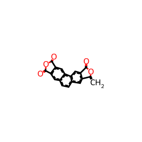 C=C1OC(=O)c2cc3c(ccc4cc5c(cc43)C(=O)OC5=O)cc21